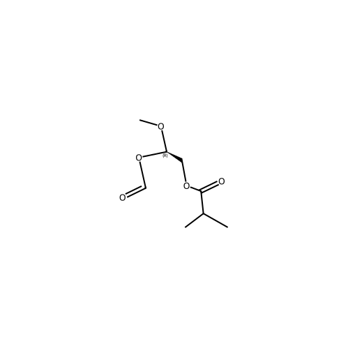 CO[C@@H](COC(=O)C(C)C)OC=O